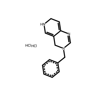 C1=NC2=CCNC=C2CN1Cc1ccccc1.Cl.Cl